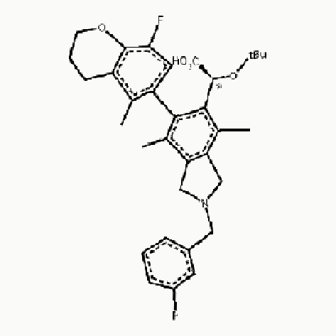 Cc1c(-c2c(C)c3c(c(C)c2[C@H](OC(C)(C)C)C(=O)O)CN(Cc2cccc(F)c2)C3)cc(F)c2c1CCCO2